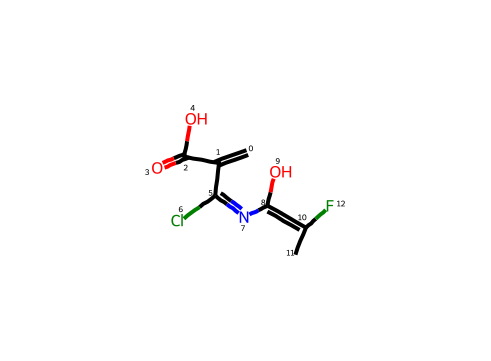 C=C(C(=O)O)/C(Cl)=N\C(O)=C(/C)F